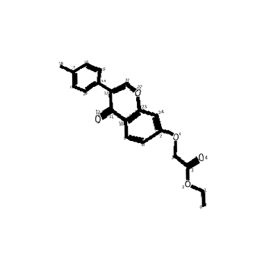 CCOC(=O)COc1ccc2c(=O)c(-c3ccc(C)cc3)coc2c1